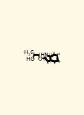 [CH2]C(O)COc1cc2ccccc2[nH]1